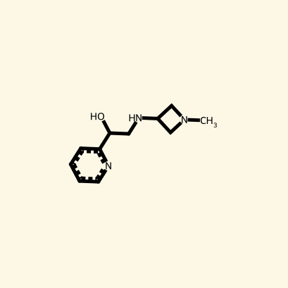 CN1CC(NCC(O)c2ccccn2)C1